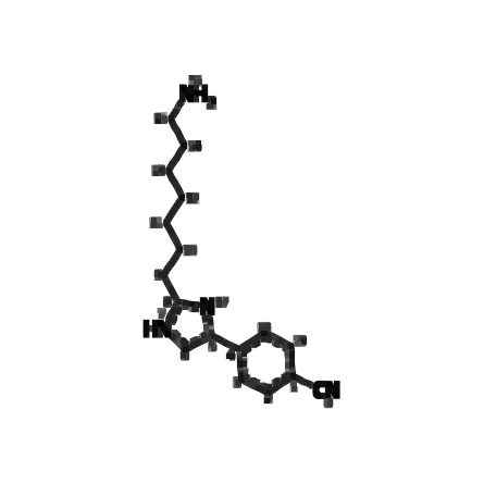 N#Cc1ccc(-c2c[nH]c(CCCCCCCN)n2)cc1